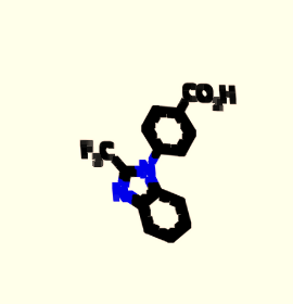 O=C(O)c1ccc(-n2c(C(F)(F)F)nc3ccccc32)cc1